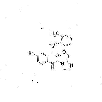 Cc1cccc(OCC2=NCCN2C(=O)Nc2ccc(Br)cc2)c1C